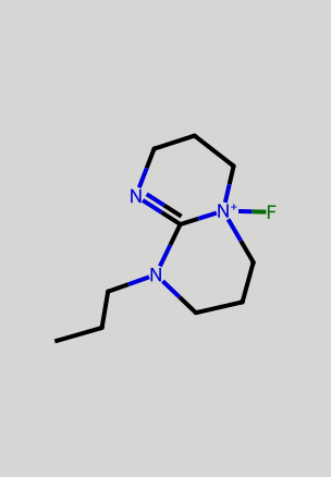 CCCN1CCC[N+]2(F)CCCN=C12